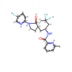 Cc1cccc(C(=O)N[C@@H]2CC(F)(F)C[C@@]3(CCN(c4ccc(F)cn4)C3=O)C2)n1